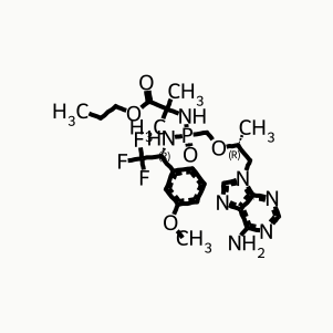 CCCOC(=O)C(C)(C)NP(=O)(CO[C@H](C)Cn1cnc2c(N)ncnc21)N[C@H](c1cccc(OC)c1)C(F)(F)F